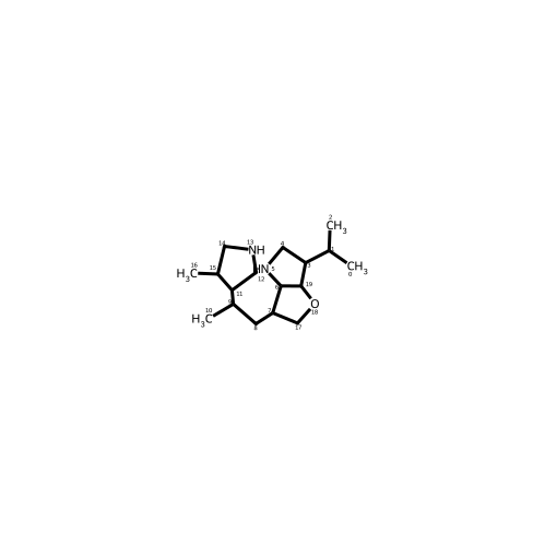 CC(C)C1CNC2C(CC(C)C3CNCC3C)COC12